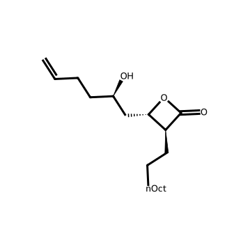 C=CCC[C@@H](O)C[C@@H]1OC(=O)[C@H]1CCCCCCCCCC